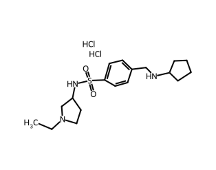 CCN1CCC(NS(=O)(=O)c2ccc(CNC3CCCC3)cc2)C1.Cl.Cl